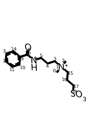 C[N+](C)(CCCNC(=O)c1ccccc1)CCCS(=O)(=O)O